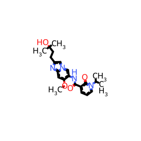 COc1cc2nc(CCC(C)(C)O)cn2cc1NC(=O)c1cccn(C(C)C)c1=O